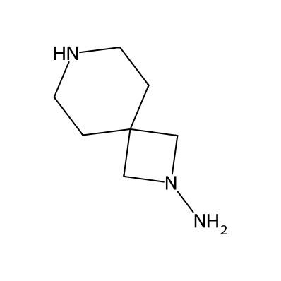 NN1CC2(CCNCC2)C1